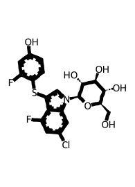 OC[C@H]1O[C@@H](n2cc(Sc3ccc(O)cc3F)c3c(F)cc(Cl)cc32)[C@H](O)[C@@H](O)[C@@H]1O